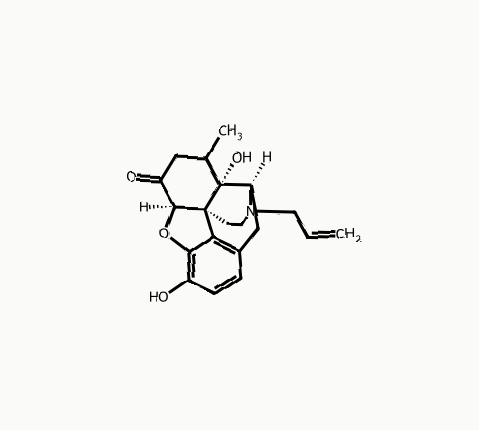 C=CCN1CC[C@]23c4c5ccc(O)c4O[C@H]2C(=O)CC(C)[C@@]3(O)[C@H]1C5